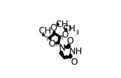 CC[C@H]1O[C@@H](n2ccc(=O)[nH]c2=O)[C@@H](OC)C1OC